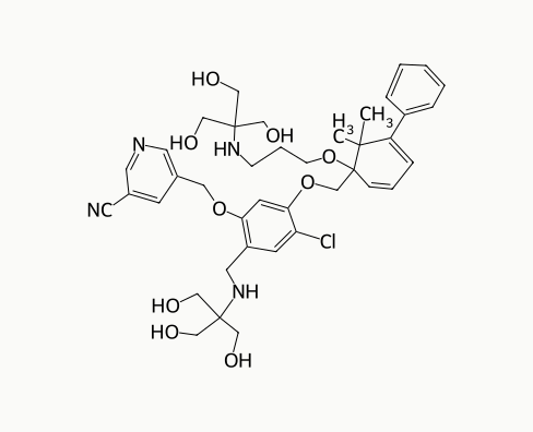 CC1(C)C(c2ccccc2)=CC=CC1(COc1cc(OCc2cncc(C#N)c2)c(CNC(CO)(CO)CO)cc1Cl)OCCCNC(CO)(CO)CO